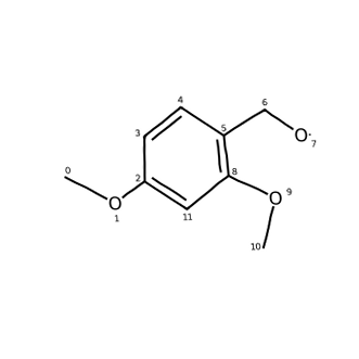 COc1ccc(C[O])c(OC)c1